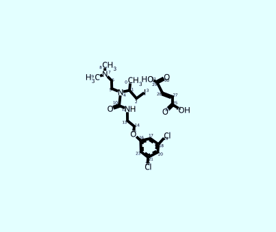 CC(CI)N(CCN(C)C)C(=O)NCCOc1cc(Cl)cc(Cl)c1.O=C(O)C=CC(=O)O